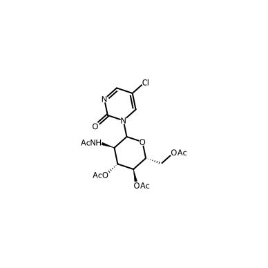 CC(=O)N[C@H]1C(n2cc(Cl)cnc2=O)O[C@H](COC(C)=O)[C@@H](OC(C)=O)[C@@H]1OC(C)=O